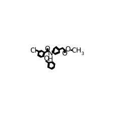 CCOC(=O)Cc1ccc(NC(=O)c2cc(Cl)ccc2OCc2ccccc2)cc1